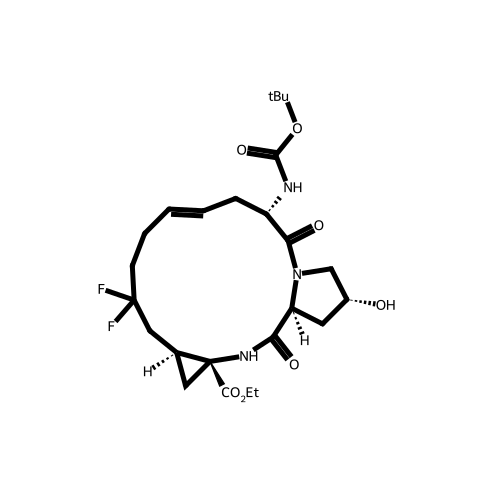 CCOC(=O)[C@@]12C[C@H]1CC(F)(F)CC/C=C/C[C@H](NC(=O)OC(C)(C)C)C(=O)N1C[C@H](O)C[C@H]1C(=O)N2